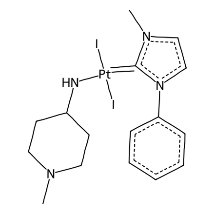 CN1CCC([NH][Pt]([I])([I])=[c]2n(C)ccn2-c2ccccc2)CC1